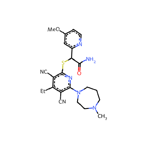 CCc1c(C#N)c(SC(C(N)=O)c2cc(OC)ccn2)nc(N2CCCN(C)CC2)c1C#N